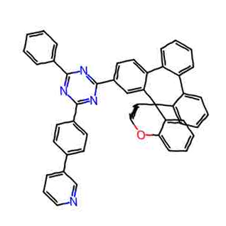 c1ccc(-c2nc(-c3ccc(-c4cccnc4)cc3)nc(-c3ccc4c(c3)C3(c5ccccc5Oc5ccccc53)c3ccccc3-c3ccccc3-4)n2)cc1